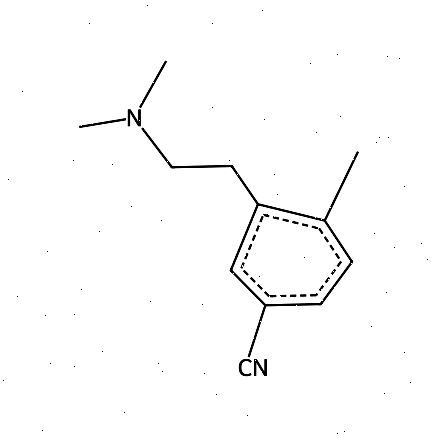 Cc1ccc(C#N)cc1CCN(C)C